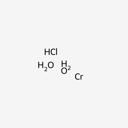 Cl.O.O.[Cr]